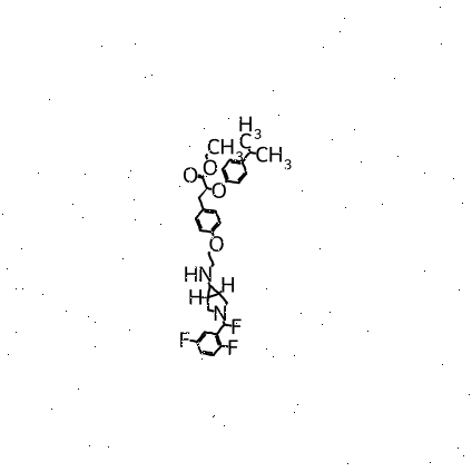 CCOC(=O)[C@H](Cc1ccc(OCCN[C@H]2[C@@H]3CN(C(F)c4cc(F)ccc4F)C[C@@H]32)cc1)Oc1ccc(C(C)C)cc1